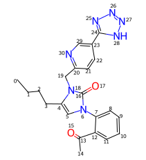 CCCCc1cn(-c2ccccc2C(C)=O)c(=O)n1Cc1ccc(-c2nnn[nH]2)cn1